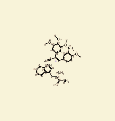 COc1ccc(/C=C(/C#N)c2cc(OC)c(OC)c(OC)c2)cc1N.NC(=O)[C@@H](N)Cc1c[nH]c2ccccc12